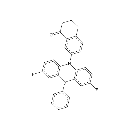 O=C1CCCc2ccc(N3c4ccc(F)cc4N(c4ccccc4)c4cc(F)ccc43)cc21